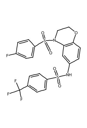 O=S(=O)(Nc1ccc2c(c1)N(S(=O)(=O)c1ccc(F)cc1)CCO2)c1ccc(C(F)(F)F)cc1